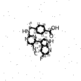 [C-]#[N+]c1cnc(N[C@H](C)c2ccc(C(=O)O)cc2)nc1-c1c[nH]c2ncc(F)cc12